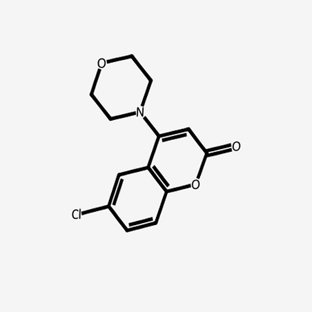 O=c1cc(N2CCOCC2)c2cc(Cl)ccc2o1